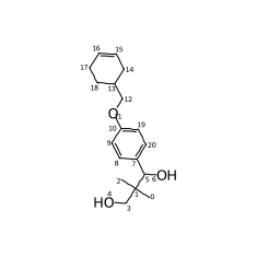 CC(C)(CO)C(O)c1ccc(OCC2CC=CCC2)cc1